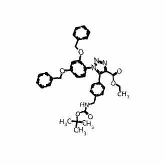 CCOC(=O)c1nnn(-c2ccc(OCc3ccccc3)cc2OCc2ccccc2)c1-c1ccc(CNC(=O)OC(C)(C)C)cc1